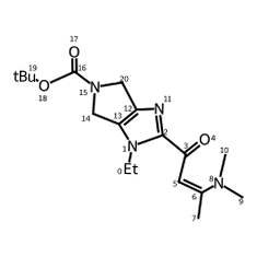 CCn1c(C(=O)C=C(C)N(C)C)nc2c1CN(C(=O)OC(C)(C)C)C2